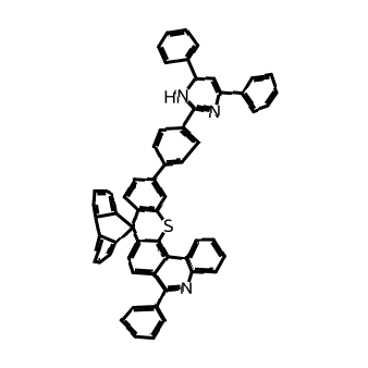 C1=C(c2ccccc2)N=C(c2ccc(-c3ccc4c(c3)Sc3c(ccc5c(-c6ccccc6)nc6ccccc6c35)C43c4ccccc4-c4ccccc43)cc2)NC1c1ccccc1